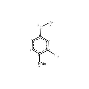 CNc1ccc(OC(C)C)cc1F